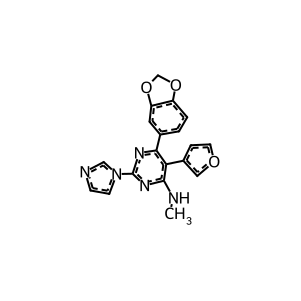 CNc1nc(-n2ccnc2)nc(-c2ccc3c(c2)OCO3)c1-c1ccoc1